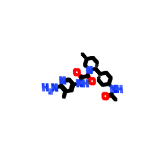 CC(=O)N[C@H]1CC[C@H]([C@H]2CC[C@H](C)CN2C(=O)C(=O)Nc2cnc(N)c(C)c2)CC1